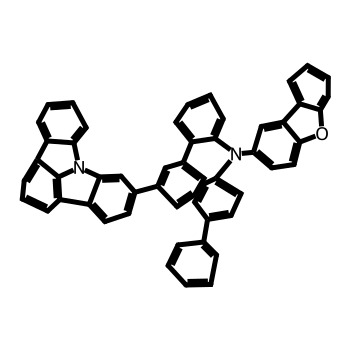 c1ccc(-c2ccc(N(c3ccc4oc5ccccc5c4c3)c3ccccc3-c3cccc(-c4ccc5c6cccc7c8ccccc8n(c5c4)c76)c3)cc2)cc1